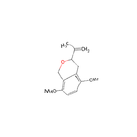 C=C(C)C1Cc2c(OC)ccc(OC)c2CO1